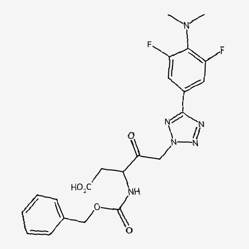 CN(C)c1c(F)cc(-c2nnn(CC(=O)C(CC(=O)O)NC(=O)OCc3ccccc3)n2)cc1F